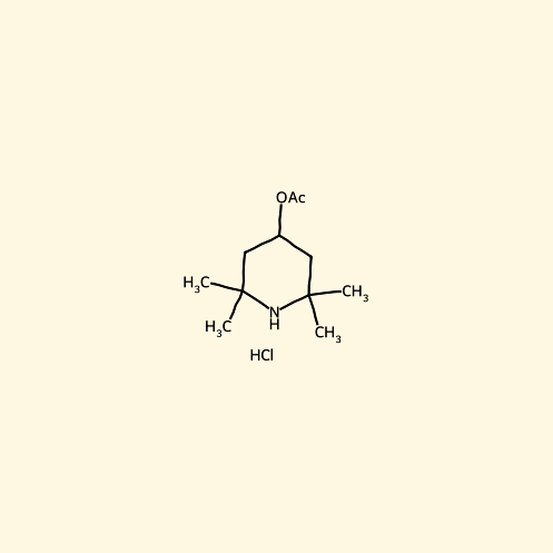 CC(=O)OC1CC(C)(C)NC(C)(C)C1.Cl